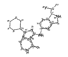 O=c1[nH]ccc2c1c(Nc1ccc3c(c1)CNC3C(F)F)nn2C1CCCCC1